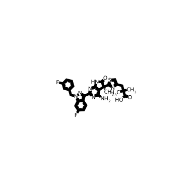 CC(C)(Cc1csc([C@]2(C)C(=O)Nc3nc(-c4nn(Cc5cccc(F)c5)c5cc(F)ccc45)nc(N)c32)n1)C(=O)O